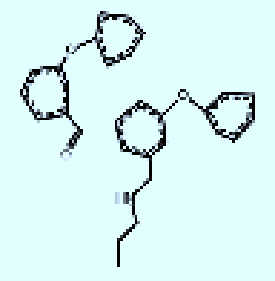 CCCNCc1cccc(Oc2ccccc2)c1.O=Cc1cccc(Oc2ccccc2)c1